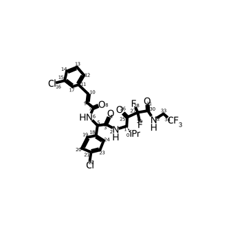 CC(C)[C@H](NC(=O)C(NC(=O)/C=C/c1cccc(Cl)c1)c1ccc(Cl)cc1)C(=O)C(F)(F)C(=O)NCC(F)(F)F